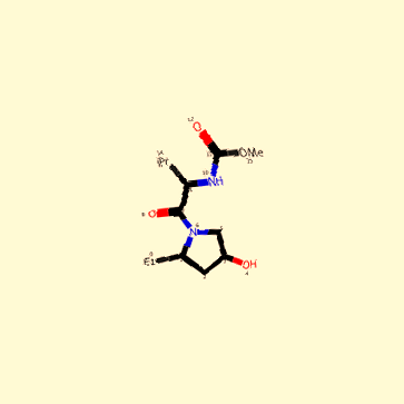 CCC1CC(O)CN1C(=O)C(NC(=O)OC)C(C)C